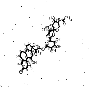 CC(=O)NC1COC(OCC2OC(OCC(=O)C3(O)CCC4C5CCC6=CC(=O)C=CC6(C)C5C(O)CC43C)C(O)C(O)C2O)(C(=O)O)CC1O